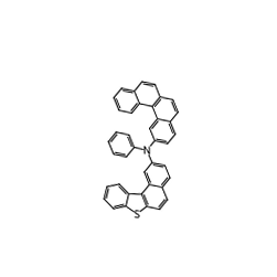 c1ccc(N(c2ccc3ccc4ccc5ccccc5c4c3c2)c2ccc3ccc4sc5ccccc5c4c3c2)cc1